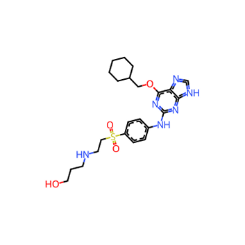 O=S(=O)(CCNCCCO)c1ccc(Nc2nc(OCC3CCCCC3)c3nc[nH]c3n2)cc1